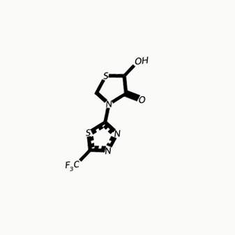 O=C1C(O)SCN1c1nnc(C(F)(F)F)s1